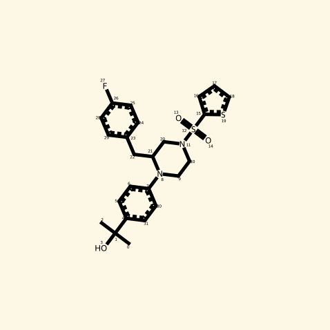 CC(C)(O)c1ccc(N2CCN(S(=O)(=O)c3cccs3)CC2Cc2ccc(F)cc2)cc1